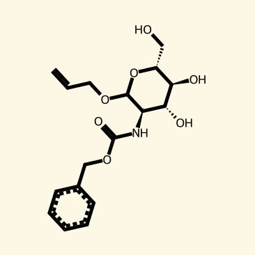 C=CCOC1O[C@H](CO)[C@@H](O)[C@H](O)[C@H]1NC(=O)OCc1ccccc1